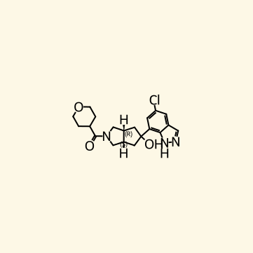 O=C(C1CCOCC1)N1C[C@@H]2CC(O)(c3cc(Cl)cc4cn[nH]c34)C[C@@H]2C1